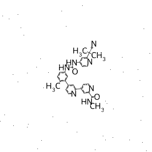 CNC(=O)c1cc(-c2cc(-c3cc(NC(=O)Nc4ccnc(C(C)(C)C#N)c4)ccc3C)ccn2)ccn1